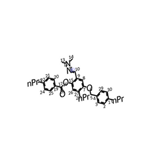 CCCc1ccc(COc2cc(/C=N/N(C)C)c(OC(=O)c3ccc(CCC)cc3)cc2CCC)cc1